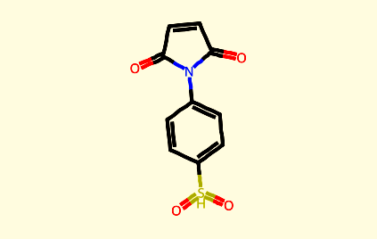 O=C1C=CC(=O)N1c1ccc([SH](=O)=O)cc1